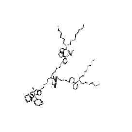 CCCCCCCCC(CCCCCC)C(=O)OCCCCNC(CCCCCOC(=O)CN(C)C(=O)C(CCCCCC)CCCCCCCC)CCCCCO[Si](c1ccccc1)(c1ccccc1)C(C)(C)C